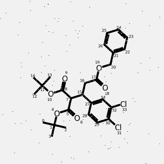 CC(C)(C)OC(=O)C(C(=O)OC(C)(C)C)C(CC(=O)OCc1ccccc1)c1ccc(Cl)c(Cl)c1